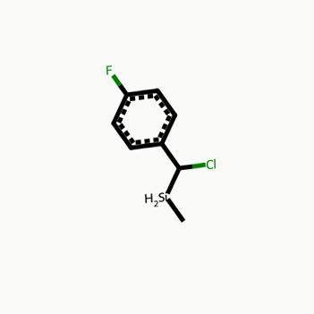 C[SiH2]C(Cl)c1ccc(F)cc1